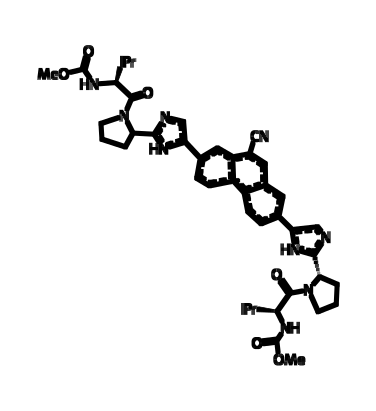 COC(=O)N[C@H](C(=O)N1CCCC1c1ncc(-c2ccc3c(c2)c(C#N)cc2cc(-c4cnc([C@@H]5CCCN5C(=O)[C@@H](NC(=O)OC)C(C)C)[nH]4)ccc23)[nH]1)C(C)C